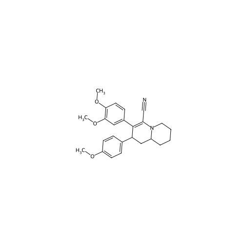 COc1ccc(C2CC3CCCCN3C(C#N)=C2c2ccc(OC)c(OC)c2)cc1